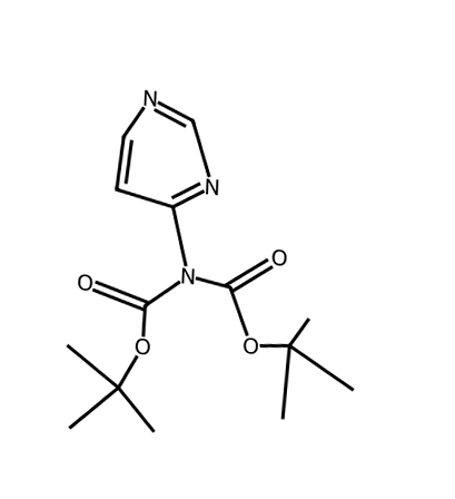 CC(C)(C)OC(=O)N(C(=O)OC(C)(C)C)c1ccncn1